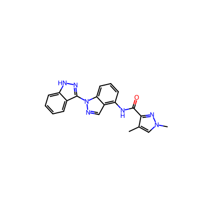 Cc1cn(C)nc1C(=O)Nc1cccc2c1cnn2-c1n[nH]c2ccccc12